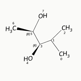 CC(C)[C@@H](O)[C@@H](C)O